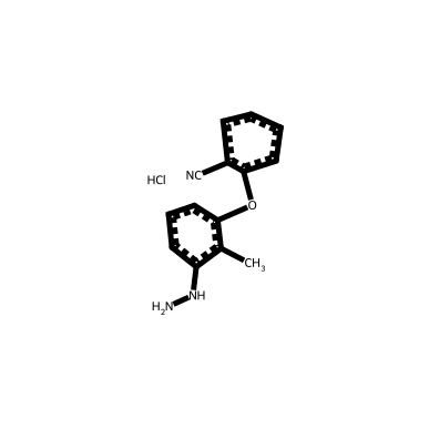 Cc1c(NN)cccc1Oc1ccccc1C#N.Cl